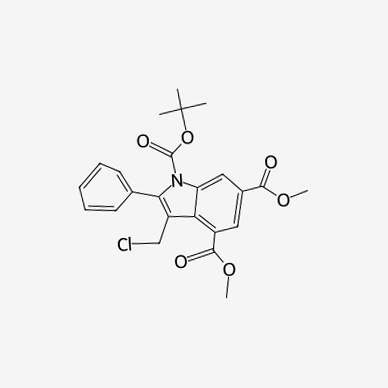 COC(=O)c1cc(C(=O)OC)c2c(CCl)c(-c3ccccc3)n(C(=O)OC(C)(C)C)c2c1